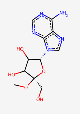 CO[C@]1(CO)O[C@@H](n2cnc3c(N)ncnc32)C(O)C1O